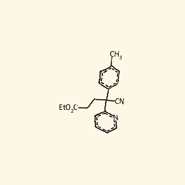 CCOC(=O)CCC(C#N)(c1ccc(C)cc1)c1ccccn1